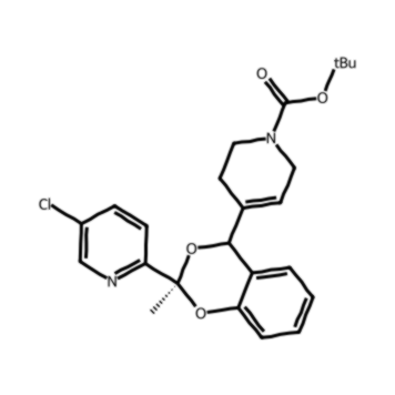 CC(C)(C)OC(=O)N1CC=C(C2O[C@](C)(c3ccc(Cl)cn3)Oc3ccccc32)CC1